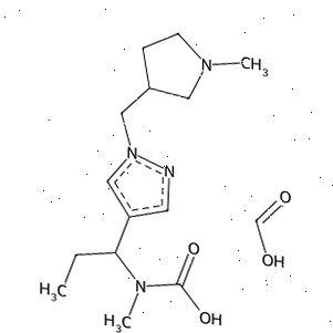 CCC(c1cnn(CC2CCN(C)C2)c1)N(C)C(=O)O.O=CO